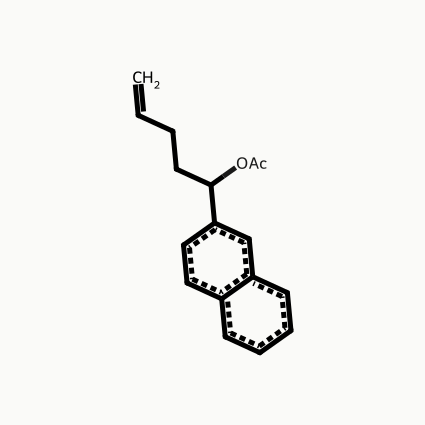 C=CCCC(OC(C)=O)c1ccc2ccccc2c1